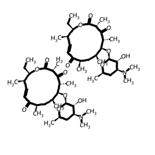 CC[C@H]1OC(=O)[C@H](C)C(=O)[C@H](C)[C@@H](O[C@@H]2O[C@H](C)C[C@H](N(C)C)[C@H]2O)[C@@H](C)C[C@@H](C)C(=O)/C=C/[C@H]1C.CC[C@H]1OC(=O)[C@H](C)C(=O)[C@H](C)[C@@H](O[C@@H]2O[C@H](C)C[C@H](N(C)C)[C@H]2O)[C@@H](C)C[C@@H](C)C(=O)/C=C/[C@H]1C